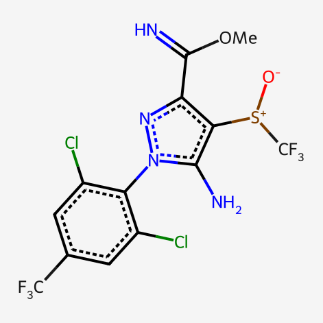 COC(=N)c1nn(-c2c(Cl)cc(C(F)(F)F)cc2Cl)c(N)c1[S+]([O-])C(F)(F)F